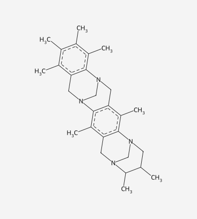 Cc1c(C)c(C)c2c(c1C)CN1CN2Cc2c(C)c3c(c(C)c21)CN1CN3CC(C)C1C